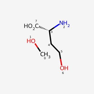 CO.N[C@H](CCO)C(=O)O